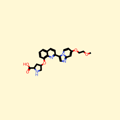 COCCOc1ccn2c(-c3ccc4cccc(OC5CNC(C(=O)O)C5)c4n3)cnc2c1